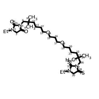 CCN1CC(=O)N(CC(C)(C)CCCCOCCCOCCCCC(C)(C)CN2C(=S)CN(CC)C2=S)C1=O